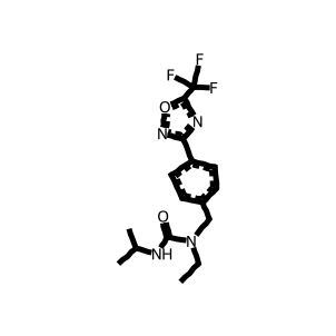 CCN(Cc1ccc(-c2noc(C(F)(F)F)n2)cc1)C(=O)NC(C)C